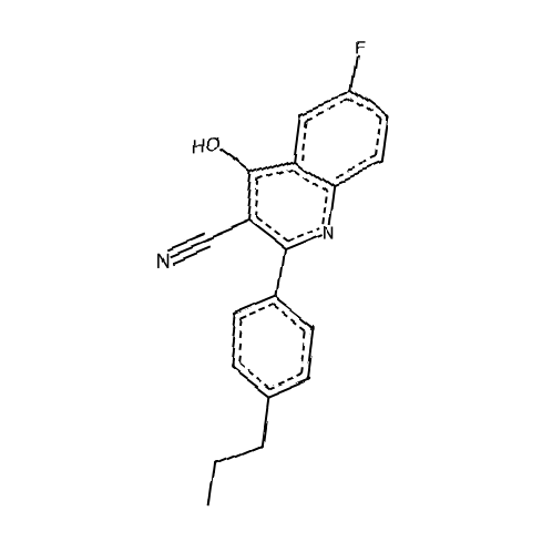 CCCc1ccc(-c2nc3ccc(F)cc3c(O)c2C#N)cc1